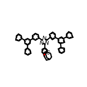 c1ccc(-c2cc(-c3ccccc3)cc(-c3cccc(-c4nc(-c5cccc(-c6cc(-c7ccccc7)cc(-c7ccccc7)c6)c5)nc(-c5ccc6c(c5)C5CC7CC(CC6C7)C5)n4)c3)c2)cc1